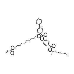 C=CC(=O)OCCCCCCCCCCOC1(C(=O)Oc2ccc(C(=O)OC(C)CCCCCC)cc2)C=CC(c2ccccc2)=CC1